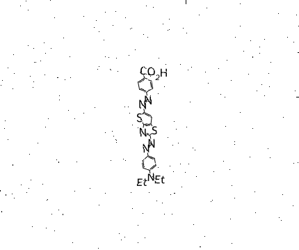 CCN(CC)c1ccc(N=Nc2nc3sc(N=Nc4ccc(C(=O)O)cc4)cc3s2)cc1